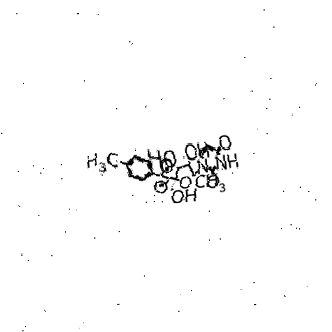 Cc1ccc(S(=O)(=O)[C@]2(CO)O[C@@](C)(n3ccc(=O)[nH]c3=O)[C@H](O)[C@@H]2O)cc1